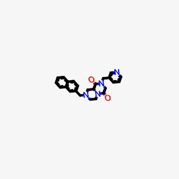 O=C1C2CN(Cc3ccc4ccccc4c3)CCN2C(=O)CN1Cc1cccnc1